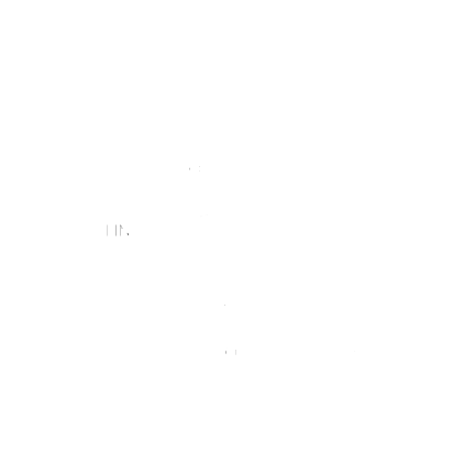 O=C1C=C(c2ccccc2)C(=O)C=C1Nc1ccccc1